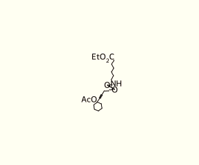 CCOC(=O)CCCCCCNS(=O)(=O)CCC#CC1(OC(C)=O)CCCCC1